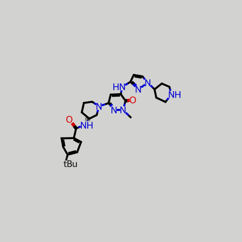 Cn1nc(N2CCC[C@@H](NC(=O)c3ccc(C(C)(C)C)cc3)C2)cc(Nc2ccn(C3CCNCC3)n2)c1=O